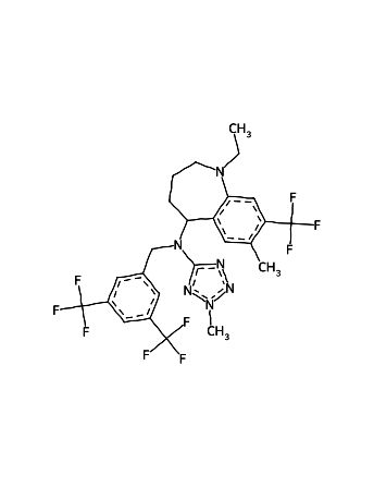 CCN1CCCC(N(Cc2cc(C(F)(F)F)cc(C(F)(F)F)c2)c2nnn(C)n2)c2cc(C)c(C(F)(F)F)cc21